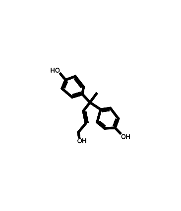 CC(C=CCO)(c1ccc(O)cc1)c1ccc(O)cc1